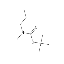 CCCN(C)C(=O)OC(C)(C)C